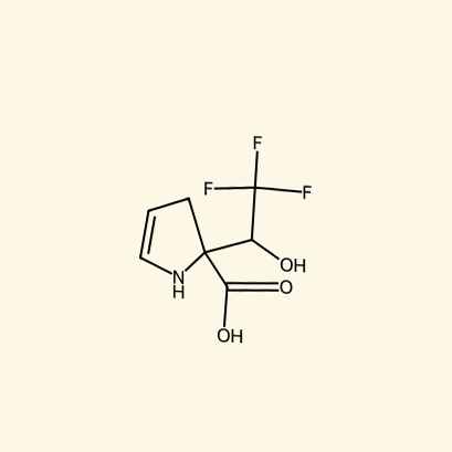 O=C(O)C1(C(O)C(F)(F)F)CC=CN1